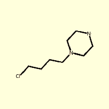 ClCCCCN1CC[N]CC1